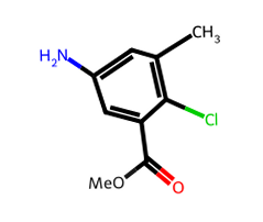 COC(=O)c1cc(N)cc(C)c1Cl